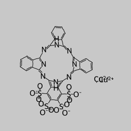 O=S(=O)([O-])c1c(S(=O)(=O)[O-])c(S(=O)(=O)[O-])c2c3nc4nc(nc5[nH]c(nc6nc(nc([nH]3)c2c1S(=O)(=O)[O-])-c1ccccc1-6)c1ccccc51)-c1ccccc1-4.[Cu+2].[Cu+2]